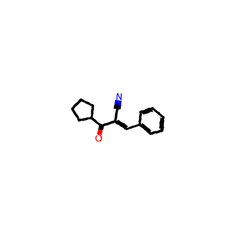 N#C/C(=C\c1ccccc1)C(=O)C1CCCC1